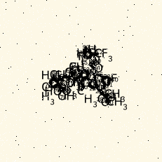 Cc1cc(C)c(C(C)(C)CC(=O)N(c2nn(CC(F)(F)F)c3c(-c4ccc(C#CC(C)(C)S(C)(=O)=O)nc4[C@H](Cc4cc(F)cc(F)c4)NC(=O)Cn4nc(C(F)(F)F)c5c4C(F)(F)[C@@H]4C[C@H]54)ccc(Cl)c23)S(C)(=O)=O)c(OP(=O)(O)O)c1